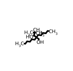 CCCCCCC(CO)(CCCCCC)C(O)C(C)(C)C